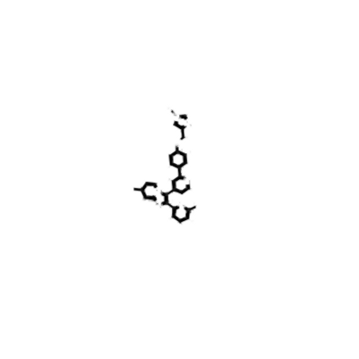 Cc1ccn2c(-c3ccnc(-c4ccc(OCc5cn(C)cn5)cc4)c3)c(-c3cccc(C)n3)nc2c1